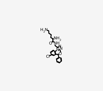 Cc1nnc(CNC(=O)[C@@H](N)CCCCN)n1-c1ccc(Cl)cc1C(=O)c1ccccc1